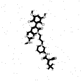 CNc1ncc2cc(-c3c(Cl)c(OC)cc(OC)c3Cl)c(=O)n(CCCN3CCCC(NC(=O)C(C#N)=CC(C)(C)C)C3)c2n1